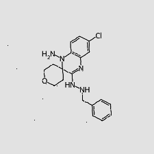 NN1c2ccc(Cl)cc2N=C(NNCc2ccccc2)C12CCOCC2